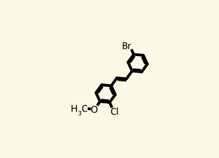 COc1ccc(C=Cc2cccc(Br)c2)cc1Cl